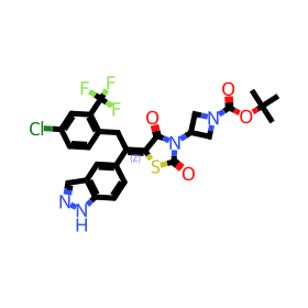 CC(C)(C)OC(=O)N1CC(N2C(=O)S/C(=C(/Cc3ccc(Cl)cc3C(F)(F)F)c3ccc4[nH]ncc4c3)C2=O)C1